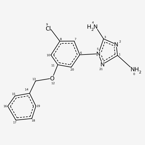 Nc1nc(N)n(-c2cc(Cl)cc(OCc3ccccc3)c2)n1